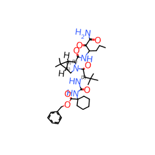 CCCC(NC(=O)[C@@H]1[C@@H]2[C@H](CN1C(=O)[C@@H](NC(=O)NC1(C(=O)OCc3ccccc3)CCCCC1)C(C)(C)C)C2(C)C)C(=O)C(N)=O